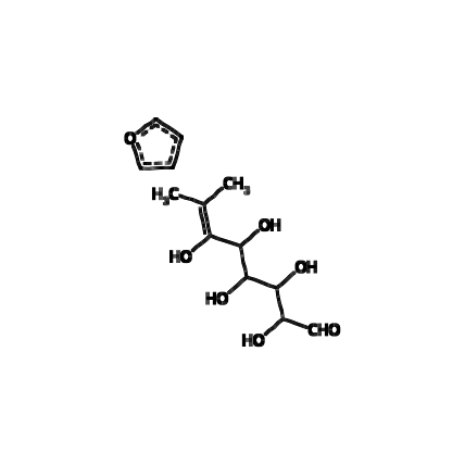 CC(C)=C(O)C(O)C(O)C(O)C(O)C=O.c1ccoc1